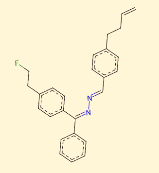 C=CCCc1ccc(C=NN=C(c2ccccc2)c2ccc(CCF)cc2)cc1